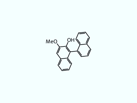 COc1cc2ccccc2c(-c2cccc3ccccc23)c1O